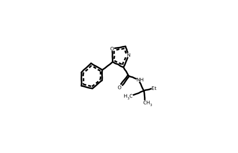 CCC(C)(C)NC(=O)c1ncoc1-c1ccccc1